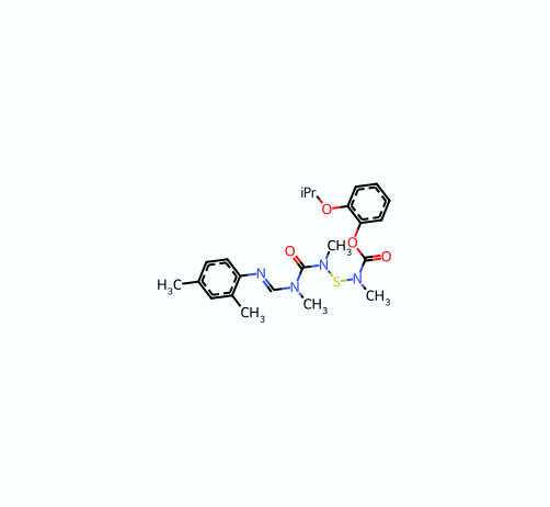 Cc1ccc(N=CN(C)C(=O)N(C)SN(C)C(=O)Oc2ccccc2OC(C)C)c(C)c1